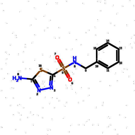 Nc1nnc(S(=O)(=O)NCc2ccccc2)s1